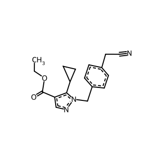 CCOC(=O)c1cnn(Cc2ccc(CC#N)cc2)c1C1CC1